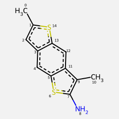 Cc1cc2cc3sc(N)c(C)c3cc2s1